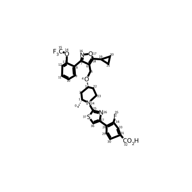 C[C@@H]1C[C@H](OCc2c(-c3ccccc3OC(F)(F)F)noc2C2CC2)CCN1c1nc(-c2ccc(C(=O)O)cc2F)cs1